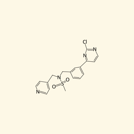 CS(=O)(=O)N(Cc1ccncc1)Cc1cccc(-c2ccnc(Cl)n2)c1